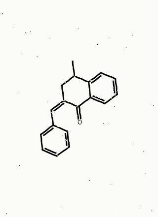 CC1C/C(=C/c2ccccc2)C(=O)c2ccccc21